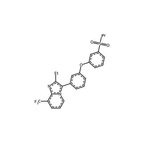 CCc1nc2c(C(F)(F)F)cccn2c1-c1cccc(Oc2cccc(S(=O)(=O)C(C)C)c2)c1